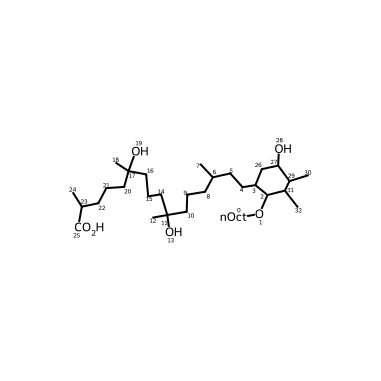 CCCCCCCCOC1C(CCC(C)CCCC(C)(O)CCCC(C)(O)CCCC(C)C(=O)O)CC(O)C(C)C1C